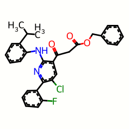 CC(C)c1ccccc1Nc1nc(-c2ccccc2F)c(Cl)cc1C(=O)CC(=O)OCc1ccccc1